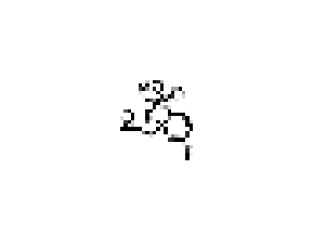 O=S(=O)(O)C1C=CC(F)=CC1(F)CC1CO1